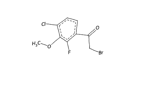 COc1c(Cl)ccc(C(=O)CBr)c1F